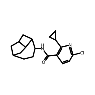 O=C(NC1CCC2CC3CC1C3C2)c1ccc(Cl)nc1C1CC1